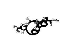 COC(=O)c1coc(-c2nc3oc2C24c5ccccc5NC2Oc2ccc(cc24)CCC(NC(=O)[C@@H](O)C(C)C)C(=O)NC3C(C)(C)C)n1